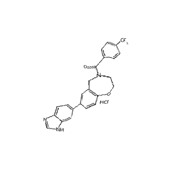 Cl.O=C(c1ccc(C(F)(F)F)cc1)N1CCOc2ccc(-c3ccc4nc[nH]c4c3)cc2C1